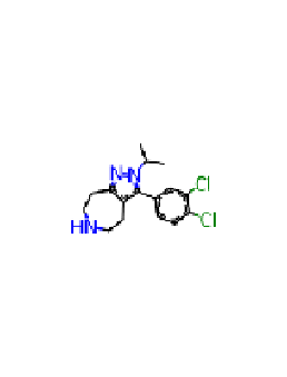 CC(C)n1nc2c(c1-c1ccc(Cl)c(Cl)c1)CCNCC2